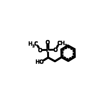 COP(=O)(OC)C(O)Cc1ccccc1